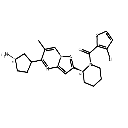 Cc1cn2nc([C@@H]3CCCCN3C(=O)c3sccc3Cl)cc2nc1C1CC[C@H](N)C1